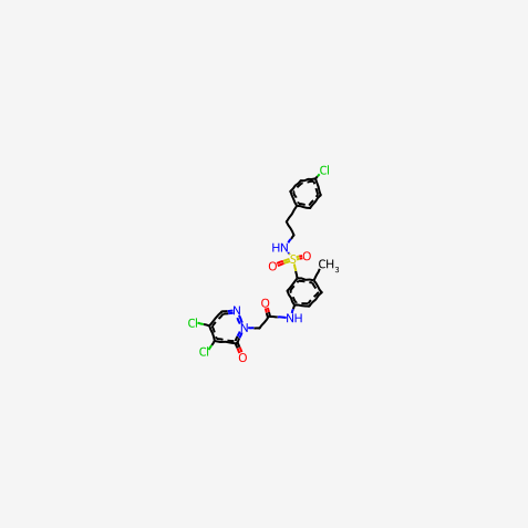 Cc1ccc(NC(=O)Cn2ncc(Cl)c(Cl)c2=O)cc1S(=O)(=O)NCCc1ccc(Cl)cc1